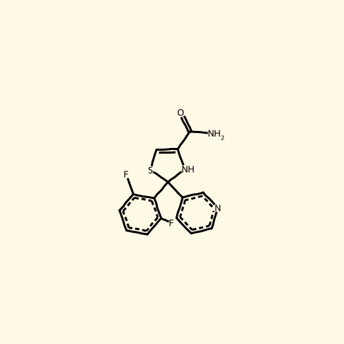 NC(=O)C1=CSC(c2cccnc2)(c2c(F)cccc2F)N1